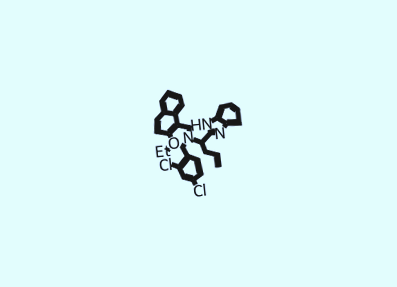 C=CCC(c1nc2ccccc2[nH]1)N(Cc1ccc(Cl)cc1Cl)Cc1c(OCC)ccc2ccccc12